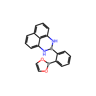 C1=COB(c2ccccc2B2Nc3cccc4cccc(c34)N2)O1